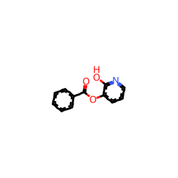 O=C(Oc1cccnc1O)c1ccccc1